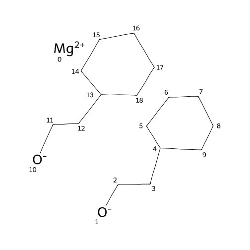 [Mg+2].[O-]CCC1CCCCC1.[O-]CCC1CCCCC1